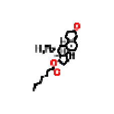 CCCCCCC(=O)O[C@H]1CC[C@H]2[C@@H]3CCC4=CC(=O)CC[C@]4(C)[C@H]3CC[C@]12C.[PbH2]